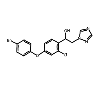 OC(Cn1cncn1)c1ccc(Oc2ccc(Br)cc2)cc1Cl